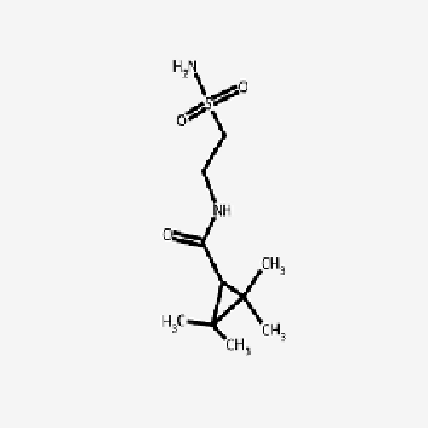 CC1(C)C(C(=O)NCCS(N)(=O)=O)C1(C)C